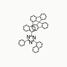 c1ccc(-c2nc(-c3cccc4ccccc34)nc(-c3ccc(-c4cccc5c4C4(c6ccccc6-c6ccccc64)c4ccccc4-5)c4ccccc34)n2)cc1